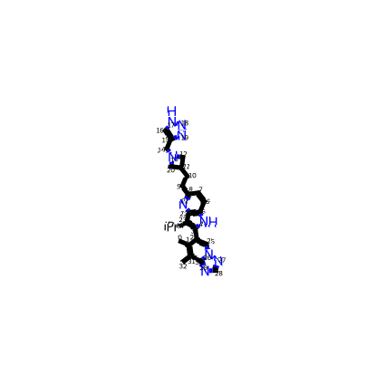 Cc1c(-c2[nH]c3ccc(CCC4CN(Cc5c[nH]nn5)C4)nc3c2C(C)C)cn2ncnc2c1C